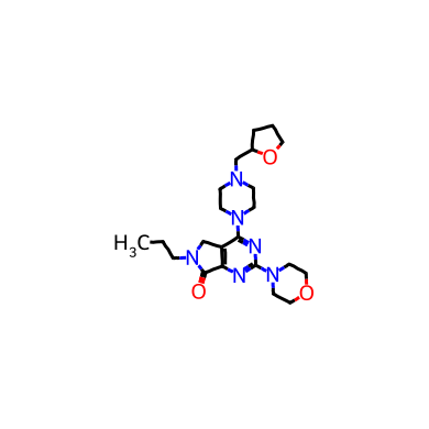 CCCN1Cc2c(nc(N3CCOCC3)nc2N2CCN(CC3CCCO3)CC2)C1=O